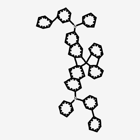 c1ccc(-c2cccc(N(c3ccccc3)c3ccc4cc5c(cc4c3)C3(c4ccccc4-c4ccccc43)c3cc4cc(N(c6ccccc6)c6cccc(-c7ccccc7)c6)ccc4cc3-5)c2)cc1